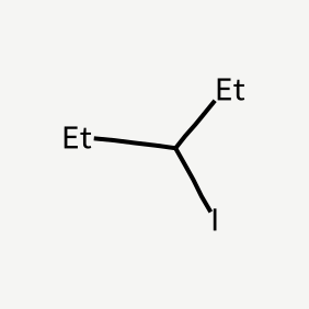 CCC(I)CC